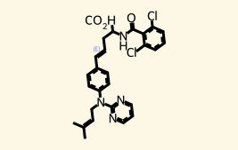 CC(C)=CCN(c1ccc(/C=C/CC(NC(=O)c2c(Cl)cccc2Cl)C(=O)O)cc1)c1ncccn1